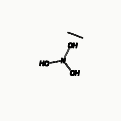 CC.ON(O)O